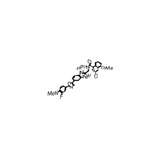 CCCN(Cc1nc2ccc(-c3cnc(-c4ccc(NC)c(F)c4)o3)cc2[nH]1)C(=O)c1nc(Cl)cc2c(OC)cccc12